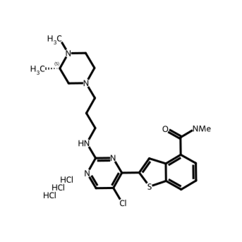 CNC(=O)c1cccc2sc(-c3nc(NCCCN4CCN(C)[C@@H](C)C4)ncc3Cl)cc12.Cl.Cl.Cl